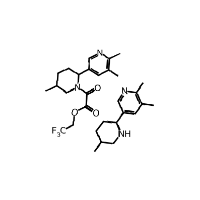 Cc1cc(C2CCC(C)CN2)cnc1C.Cc1cc(C2CCC(C)CN2C(=O)C(=O)OCC(F)(F)F)cnc1C